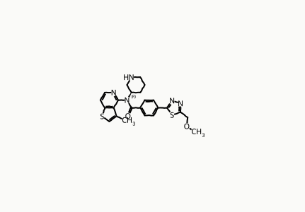 COCc1nnc(-c2ccc(C(=O)N(c3nccc4scc(C)c34)[C@@H]3CCCNC3)cc2)s1